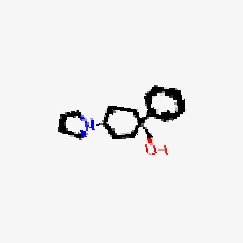 OC[C@]1(c2ccccc2)CC[C@@H](N2CCCC2)CC1